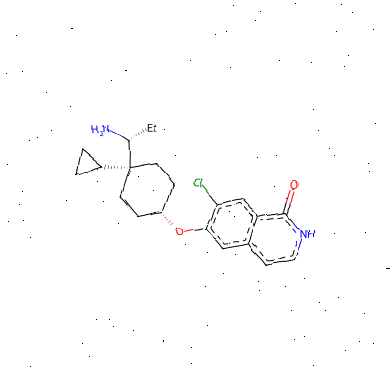 CC[C@@H](N)[C@]1(C2CC2)CC[C@@H](Oc2cc3cc[nH]c(=O)c3cc2Cl)CC1